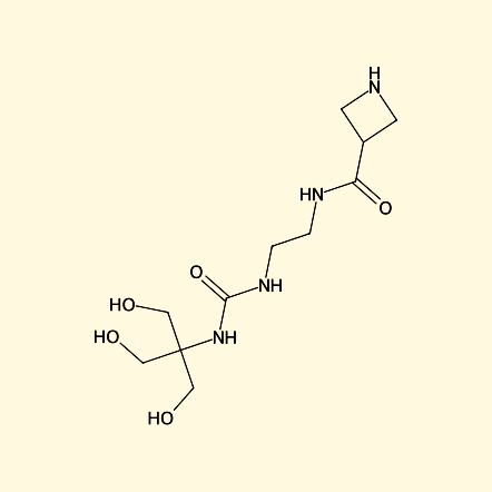 O=C(NCCNC(=O)C1CNC1)NC(CO)(CO)CO